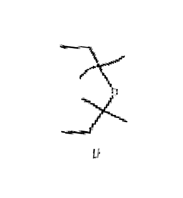 CCC(C)(C)OC(C)(C)CC.[Li]